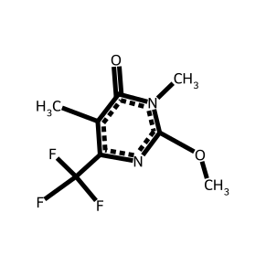 COc1nc(C(F)(F)F)c(C)c(=O)n1C